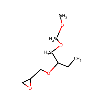 CCC(OCC1CO1)[SiH2]O[SiH2]O[SiH3]